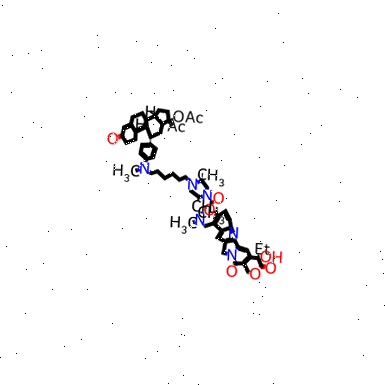 CC[C@@]1(O)C(=O)OCc2c1cc1n(c2=O)Cc2cc3c(CN(C)C)c(OC(=O)N4C[C@@H](C)N(CCCCCCN(C)c5ccc([C@H]6CC7[C@@H](CC[C@]7(OC(C)=O)C(C)=O)[C@@H]7CCC8=CC(=O)CCC8=C76)cc5)C[C@@H]4C)ccc3nc2-1